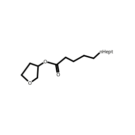 CCCCCCCCCCCC(=O)OC1CCOC1